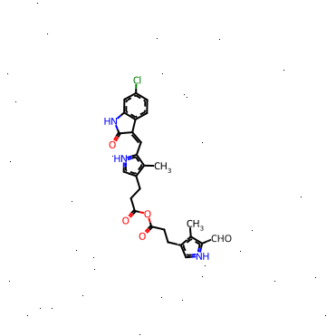 Cc1c(CCC(=O)OC(=O)CCc2c[nH]c(C=C3C(=O)Nc4cc(Cl)ccc43)c2C)c[nH]c1C=O